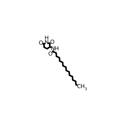 CCCCCCCCCCCCCCCC(=O)NC1CCC(=O)NC1=O